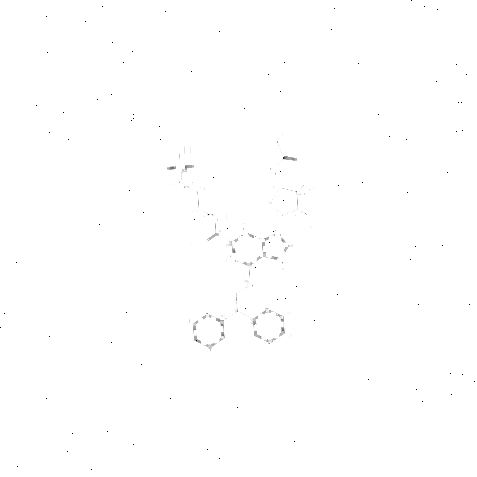 CCC(=O)N[C@H]1C[C@@H](n2cnc3c(NCC(c4ccccc4)c4ccccc4)nc(C(=O)NCCNS(C)(=O)=O)nc32)[C@H](O)[C@@H]1O